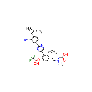 CCc1c(CCN(C)CC(=O)O)cccc1-c1cnc(-c2ccc(CC(C)C)c(C#N)c2)nc1.O=C(O)C(F)(F)F